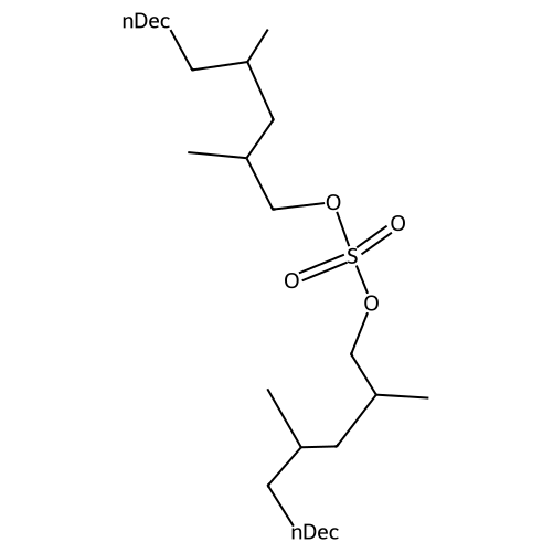 CCCCCCCCCCCC(C)CC(C)COS(=O)(=O)OCC(C)CC(C)CCCCCCCCCCC